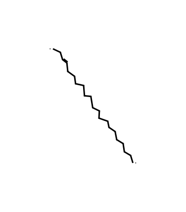 [CH2]CC=CCCCCCCCCCCCCCCCC[CH2]